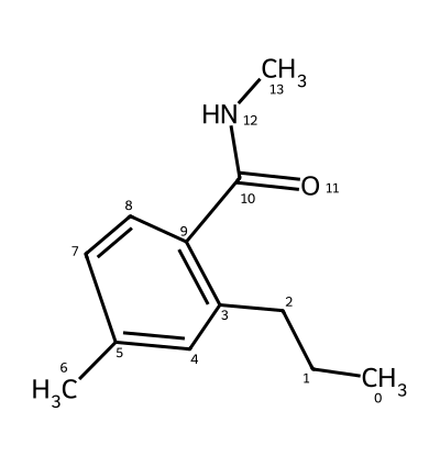 CCCc1cc(C)ccc1C(=O)NC